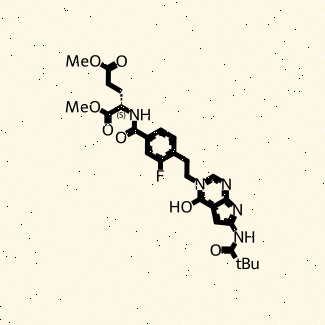 COC(=O)CC[C@H](NC(=O)c1ccc(CCn2cnc3nc(NC(=O)C(C)(C)C)cc-3c2O)c(F)c1)C(=O)OC